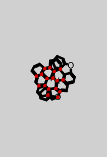 c1ccc(-c2ccccc2N(c2ccccc2-c2ccccc2N(c2ccccc2-c2ccccc2)c2cccc3oc4ccccc4c23)c2cccc3oc4ccccc4c23)cc1